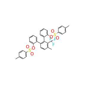 Cc1ccc(S(=O)(=O)Oc2ccccc2-c2ccc(C)c(C(F)(F)F)c2-c2ccccc2OS(=O)(=O)c2ccc(C)cc2)cc1